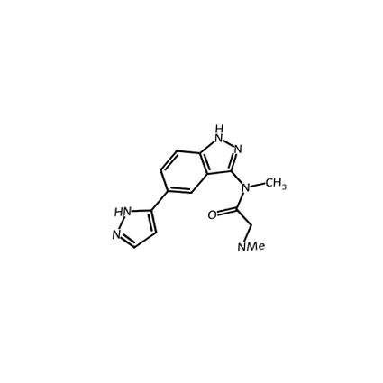 CNCC(=O)N(C)c1n[nH]c2ccc(-c3ccn[nH]3)cc12